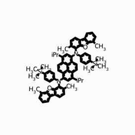 Cc1ccc2c(oc3c(C)cccc32)c1N(c1ccc([Si](C)(C)C)cc1)c1cc(C(C)C)c2ccc3c(N(c4ccc([Si](C)(C)C)cc4)c4c(C)ccc5c4oc4c(C)cccc45)cc(C(C)C)c4ccc1c2c43